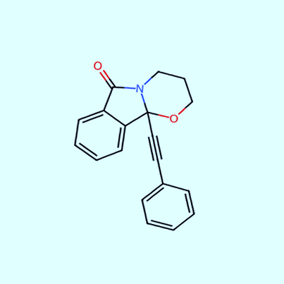 O=C1c2ccccc2C2(C#Cc3ccccc3)OCCCN12